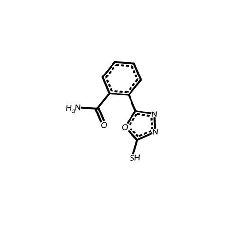 NC(=O)c1ccccc1-c1nnc(S)o1